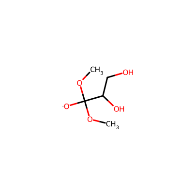 COC([O])(OC)C(O)CO